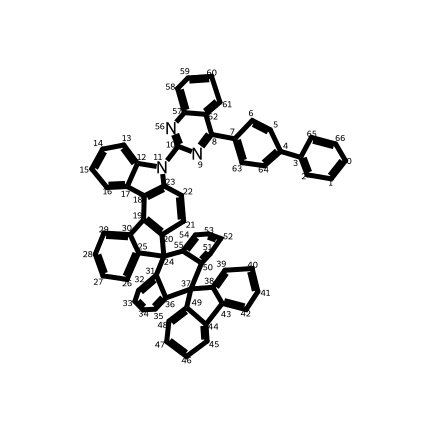 c1ccc(-c2ccc(-c3nc(-n4c5ccccc5c5c6c(ccc54)C4(c5ccccc5-6)c5ccccc5C5(c6ccccc6-c6ccccc65)c5ccccc54)nc4ccccc34)cc2)cc1